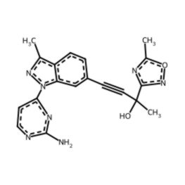 Cc1nc(C(C)(O)C#Cc2ccc3c(C)nn(-c4ccnc(N)n4)c3c2)no1